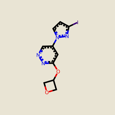 Ic1ccn(-c2cnnc(OC3COC3)c2)n1